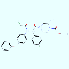 CC(C)[C@@H]1CN(C(=O)[C@@H](c2ccc(F)cc2)N(C(=O)CCl)c2ccc(Oc3ccccc3)cc2)CCN1C(=O)OC(C)(C)C